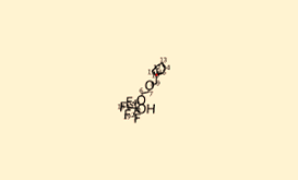 OC(CF)(COCCOCC1CC2C=CC1C2)C(F)(F)F